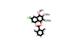 COc1c(OC)c(OC(C)C)c2cc(Cl)ccc2c1OC(=O)c1c(C)cccc1C